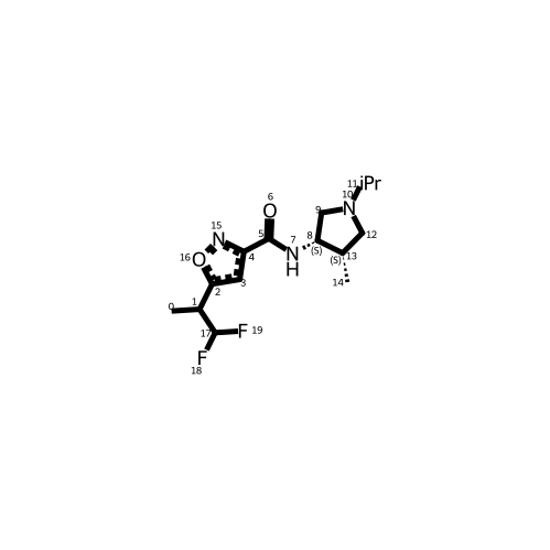 CC(c1cc(C(=O)N[C@@H]2CN(C(C)C)C[C@@H]2C)no1)C(F)F